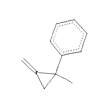 C=C1CC1(C)c1ccccc1